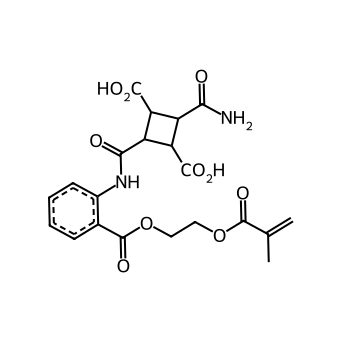 C=C(C)C(=O)OCCOC(=O)c1ccccc1NC(=O)C1C(C(=O)O)C(C(N)=O)C1C(=O)O